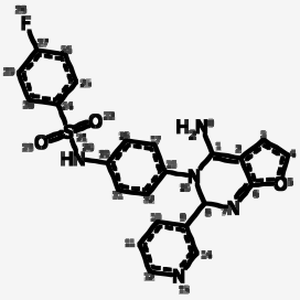 NC1=c2ccoc2=NC(c2cccnc2)N1c1ccc(NS(=O)(=O)c2ccc(F)cc2)cc1